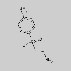 NCCS(=O)(=O)c1ccc([N+](=O)[O-])cc1